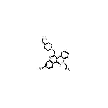 CCOc1ccccc1-n1c(CN2CCN(CC)CC2)nc2cc(N)ccc2c1=O